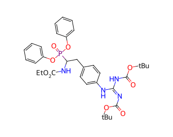 CCOC(=O)NC(Cc1ccc(NC(=NC(=O)OC(C)(C)C)NC(=O)OC(C)(C)C)cc1)P(=O)(Oc1ccccc1)Oc1ccccc1